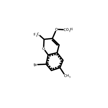 Cc1cc(Br)c2c(c1)C=C(OC(=O)O)C(C(F)(F)F)O2